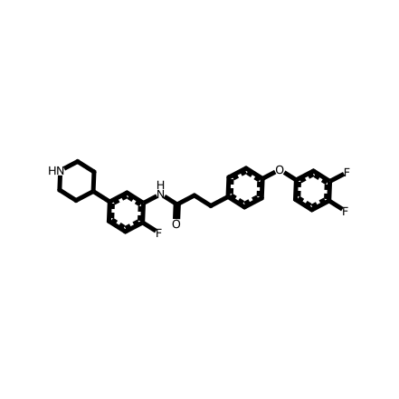 O=C(CCc1ccc(Oc2ccc(F)c(F)c2)cc1)Nc1cc(C2CCNCC2)ccc1F